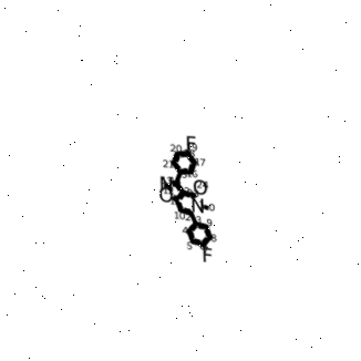 Cn1c(-c2ccc(F)cc2)cc2onc(-c3ccc(F)cc3)c2c1=O